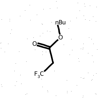 CCCCOC(=O)CC(F)(F)F